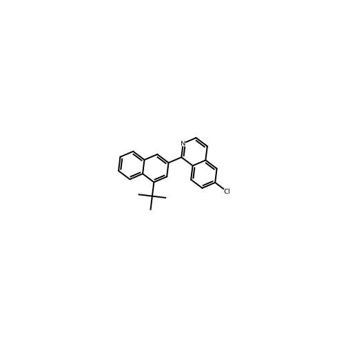 CC(C)(C)c1cc(-c2nccc3cc(Cl)ccc23)cc2ccccc12